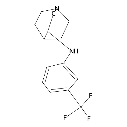 FC(F)(F)c1cccc(NC2CN3CCC2CC3)c1